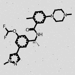 Cc1ccc(N2CCN(C)CC2)cc1C(=O)N[C@H](C)c1cc(OC(F)F)cc(-c2cnn(C)c2)c1